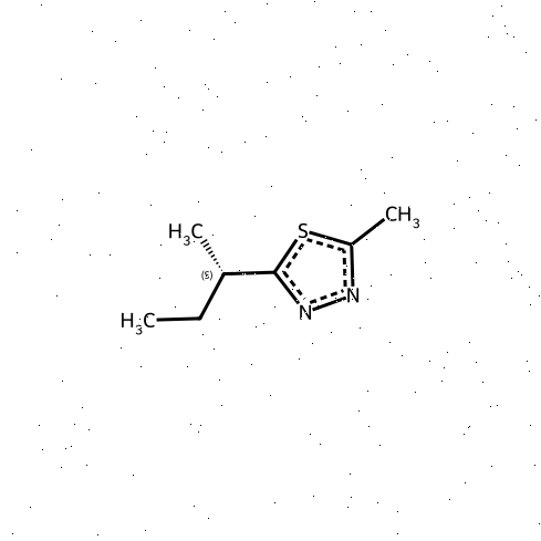 CC[C@H](C)c1nnc(C)s1